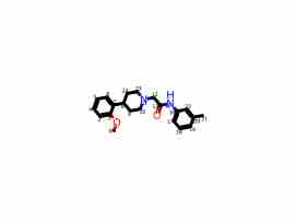 COc1ccccc1C1CCN(CC(=O)Nc2cccc(C)c2)CC1